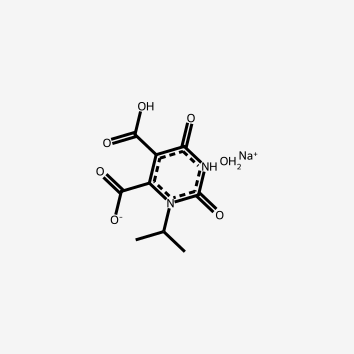 CC(C)n1c(C(=O)[O-])c(C(=O)O)c(=O)[nH]c1=O.O.[Na+]